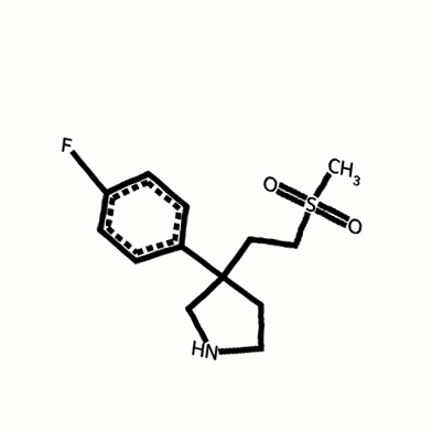 CS(=O)(=O)CCC1(c2ccc(F)cc2)CCNC1